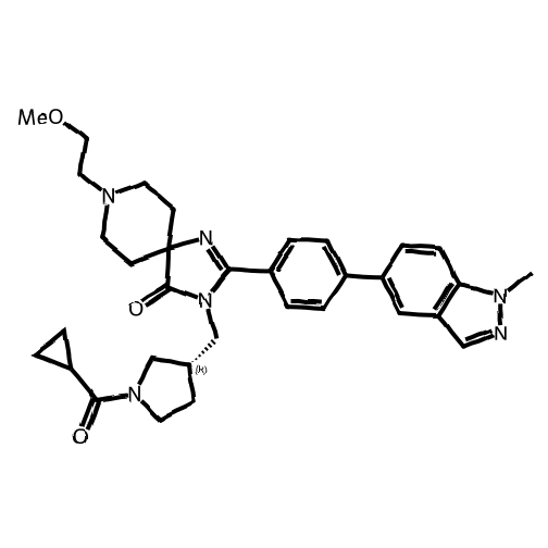 COCCN1CCC2(CC1)N=C(c1ccc(-c3ccc4c(cnn4C)c3)cc1)N(C[C@@H]1CCN(C(=O)C3CC3)C1)C2=O